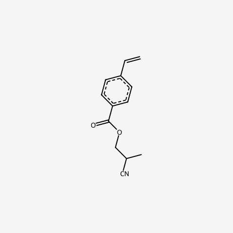 C=Cc1ccc(C(=O)OCC(C)C#N)cc1